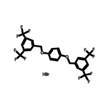 Br.FC(F)(F)c1cc(COc2ccc(OCc3cc(C(F)(F)F)cc(C(F)(F)F)c3)cc2)cc(C(F)(F)F)c1